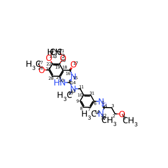 COCC/C(=N/c1cccc(CN(C)c2nc(=O)c3c(OC)c(OC)c(OC)cc3[nH]2)c1)N(C)C